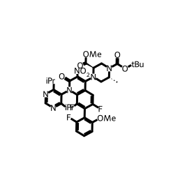 COC(=O)[C@H]1CN(C(=O)OC(C)(C)C)[C@H](C)CN1c1c([N+](=O)[O-])c(=O)n(-c2c(C(C)C)ncnc2C(C)C)c2c(F)c(-c3c(F)cccc3OC)c(F)cc12